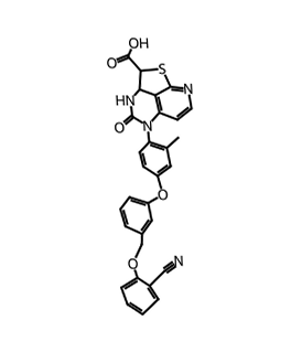 Cc1cc(Oc2cccc(COc3ccccc3C#N)c2)ccc1N1C(=O)NC2c3c1ccnc3SC2C(=O)O